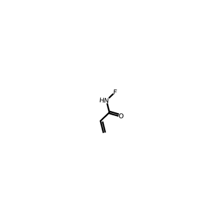 C=CC(=O)NF